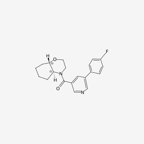 O=C(c1cncc(-c2ccc(F)cc2)c1)N1CCO[C@H]2CCCC[C@@H]21